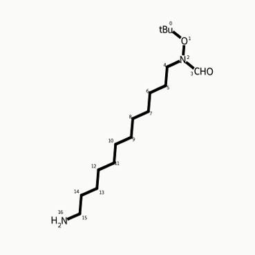 CC(C)(C)ON(C=O)CCCCCCCCCCCCN